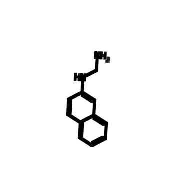 NCNc1ccc2ccccc2c1